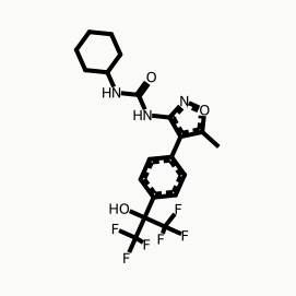 Cc1onc(NC(=O)NC2CCCCC2)c1-c1ccc(C(O)(C(F)(F)F)C(F)(F)F)cc1